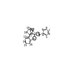 O=C(OCc1ccccc1)C1=C(c2ccccc2)CC=N1